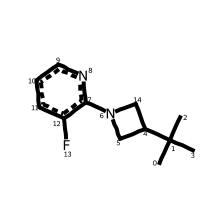 CC(C)(C)C1CN(c2ncccc2F)C1